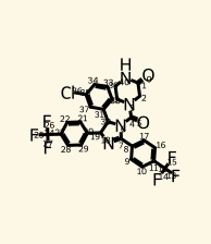 O=C1CN(C(=O)N2C(c3ccc(C(F)(F)F)cc3)=NC(c3ccc(C(F)(F)F)cc3)C2c2cccc(Cl)c2)CCN1